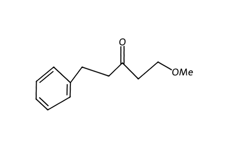 COCCC(=O)CCc1ccccc1